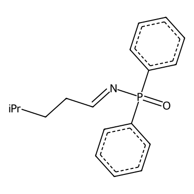 CC(C)CC/C=N/P(=O)(c1ccccc1)c1ccccc1